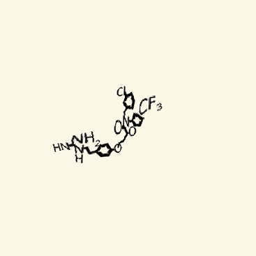 N=C(N)NCCc1ccc(OCCC2Oc3ccc(C(F)(F)F)cc3N(Cc3cccc(Cl)c3)C2=O)cc1